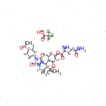 CC(=O)c1ccc(-n2c(=O)n3n(c2=O)C2C(=CC3)C(C)(C)Oc3cc(OC(=O)C(N)CCC(N)=O)ccc32)cc1.O=C(O)C(F)(F)F